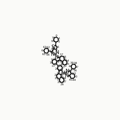 c1ccc(-c2cc3nc(-n4c5cccc(-c6ccc7c(c6)c6ccc8ccccc8c6n7-c6nc(-c7ccccc7)c7ccccc7n6)c5c5c6ccccc6ccc54)nc(-c4ccccc4)c3s2)cc1